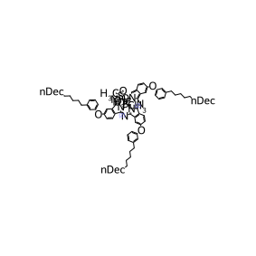 CCCCCCCCCCCCCCCc1cccc(Oc2ccc3c(c2)C(/N=C2/c4ccc(Oc5cccc(CCCCCCCCCCCCCCC)c5)cc4C(=N)N2B(C)OS(C)(=O)=O)=NC/3=N\c2c3cc(Oc4cccc(CCCCCCCCCCCCCCC)c4)ccc3cn2C)c1